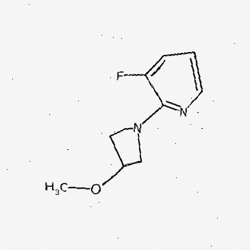 COC1CN(c2ncccc2F)C1